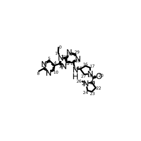 CCn1c(-c2cnc(C)nc2)nc2c(NC3CCN(C(=O)[C@H]4CCCN4C)C3)ncnc21